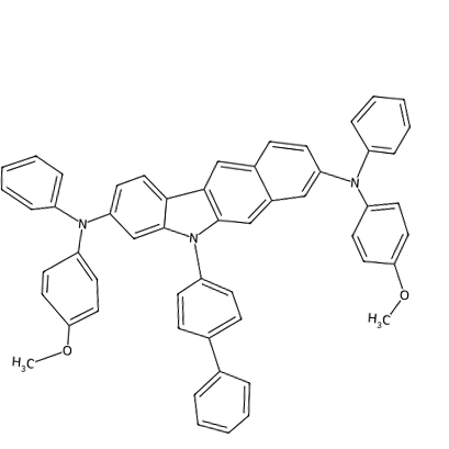 COc1ccc(N(c2ccccc2)c2ccc3cc4c5ccc(N(c6ccccc6)c6ccc(OC)cc6)cc5n(-c5ccc(-c6ccccc6)cc5)c4cc3c2)cc1